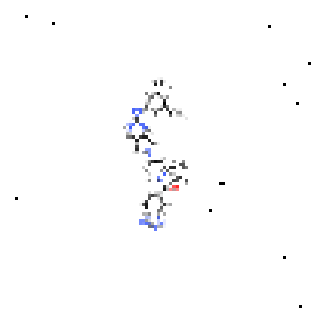 Cc1cc(C)cc(Nc2ncc3c(n2)CN(C2CCN(C(=O)c4ccc5[nH]nnc5c4)C(C)(C)C2)C3)c1